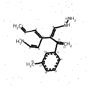 C=C/C=C(\C=C/N)C(=C/NN)/C(=C)c1cccc(C)c1